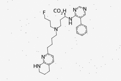 O=C(O)[C@H](CCN(CCCF)CCCCc1ccc2c(n1)NCCC2)Nc1ncncc1-c1ccccc1